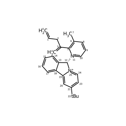 C=CCC(=C)c1c(C)ccc[n+]1[C@H]1c2ccccc2-c2cc(C(C)(C)C)cc[n+]21